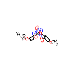 COc1ccc2c(c1)C(=O)N(C[C@@]1(c3cc4cc(OC)ccc4o3)NC(=O)NC1=O)C2